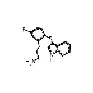 NCCCc1cc(F)ccc1Sc1c[nH]c2ccccc12